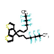 FC(F)(F)C(F)(F)C(F)(F)C(F)(F)CCCC1(CCCC(F)(F)C(F)(F)C(F)(F)C(F)(F)F)c2ccsc2-c2sccc21